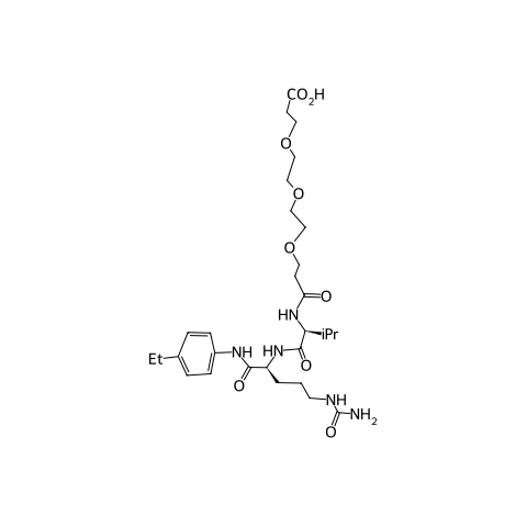 CCc1ccc(NC(=O)[C@H](CCCNC(N)=O)NC(=O)[C@@H](NC(=O)CCOCCOCCOCCC(=O)O)C(C)C)cc1